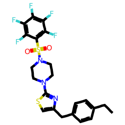 CCc1ccc(Cc2csc(N3CCN(S(=O)(=O)c4c(F)c(F)c(F)c(F)c4F)CC3)n2)cc1